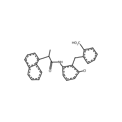 CC(C(=O)Nc1cccc(Cl)c1Cc1ccccc1C(=O)O)c1cccc2ccccc12